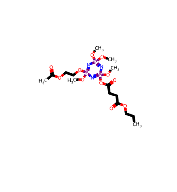 CCCOC(=O)CCC(=O)OP1(OC)=NP(OC)(OCCOC(C)=O)=NP(OC)(OC)=N1